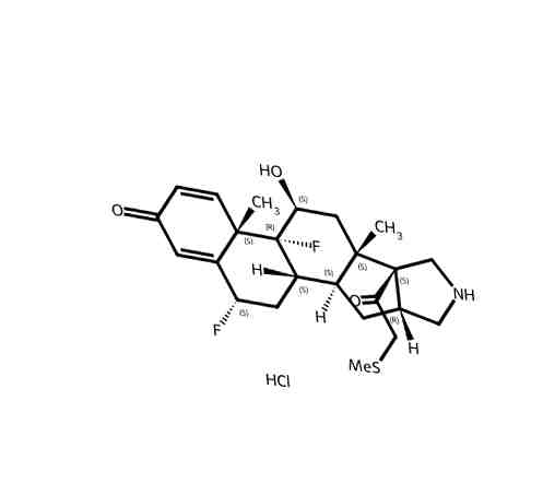 CSCC(=O)[C@@]12CNC[C@@H]1C[C@H]1[C@@H]3C[C@H](F)C4=CC(=O)C=C[C@]4(C)[C@@]3(F)[C@@H](O)C[C@@]12C.Cl